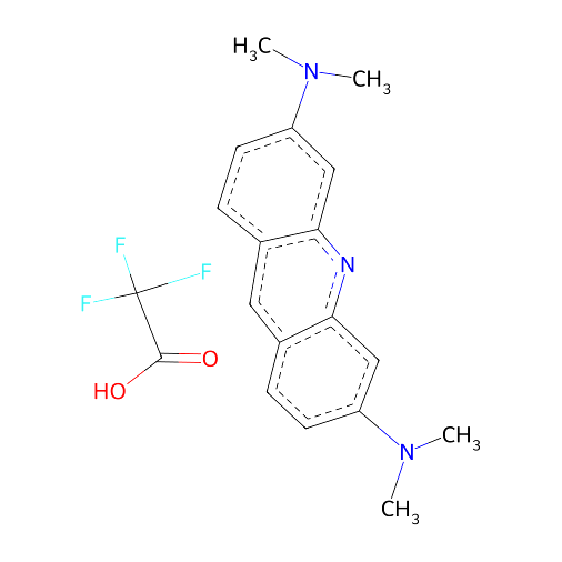 CN(C)c1ccc2cc3ccc(N(C)C)cc3nc2c1.O=C(O)C(F)(F)F